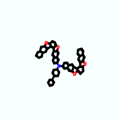 c1ccc(-c2ccc(N(c3ccc4cc5c(cc4c3)oc3ccc4oc6cc7ccccc7cc6c4c35)c3ccc4cc5c(cc4c3)oc3ccc4oc6cc7ccccc7cc6c4c35)cc2)cc1